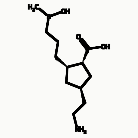 CB(O)CCC[C@H]1C[C@H](CCN)C[C@H]1C(=O)O